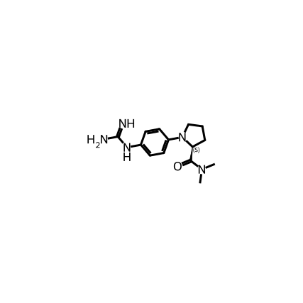 CN(C)C(=O)[C@@H]1CCCN1c1ccc(NC(=N)N)cc1